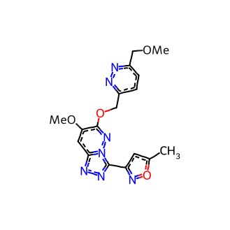 COCc1ccc(COc2nn3c(-c4cc(C)on4)nnc3cc2OC)nn1